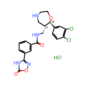 Cl.O=C(NC[C@@H]1CNCCO[C@H]1c1ccc(Cl)c(Cl)c1)c1cccc(-c2noc(=O)[nH]2)c1